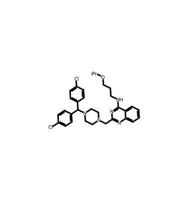 CC(C)OCCCNc1nc(CN2CCN(C(c3ccc(Cl)cc3)c3ccc(Cl)cc3)CC2)nc2ccccc12